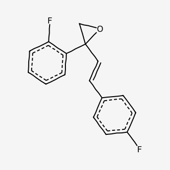 Fc1ccc(C=CC2(c3ccccc3F)CO2)cc1